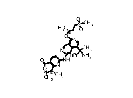 CCCC(C)(N)c1cnc(O[C@H](C)CCS(C)(=O)=O)c2cnc(Nc3ccc4c(n3)[C@@H](C)[C@H](C)OC4=O)cc12